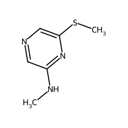 CNc1cncc(SC)n1